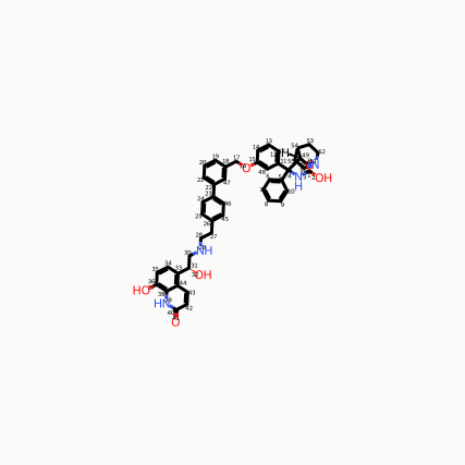 O=C(O)NC(c1ccccc1)(c1cccc(OCc2cccc(-c3ccc(CCNC[C@H](O)c4ccc(O)c5[nH]c(=O)ccc45)cc3)c2)c1)[C@H]1CN2CCC1CC2